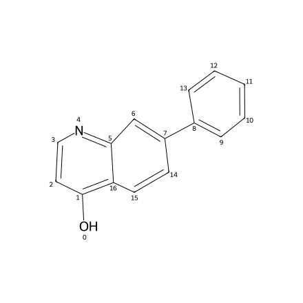 Oc1ccnc2cc(-c3ccccc3)ccc12